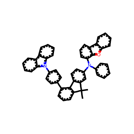 CC1(C)c2cc(N(c3ccccc3)c3cccc4c3oc3ccccc34)ccc2-c2c(-c3ccc(-n4c5ccccc5c5ccccc54)cc3)cccc21